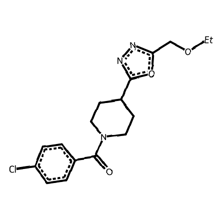 CCOCc1nnc(C2CCN(C(=O)c3ccc(Cl)cc3)CC2)o1